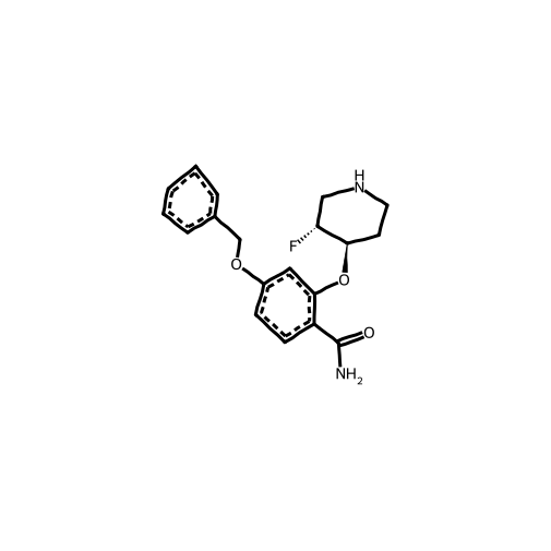 NC(=O)c1ccc(OCc2ccccc2)cc1O[C@@H]1CCNC[C@H]1F